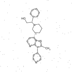 Cc1nn2c([C@H]3CCCN(C(CO)c4ccccc4)C3)ccnc2c1-c1ccncc1